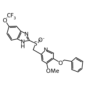 COc1cc(C[S+]([O-])c2nc3cc(OC(F)(F)F)ccc3[nH]2)ncc1OCc1ccccc1